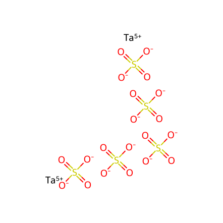 O=S(=O)([O-])[O-].O=S(=O)([O-])[O-].O=S(=O)([O-])[O-].O=S(=O)([O-])[O-].O=S(=O)([O-])[O-].[Ta+5].[Ta+5]